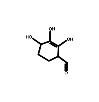 O=CC1CCC(O)C(O)=C1O